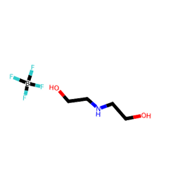 F[B-](F)(F)F.OCCNCCO